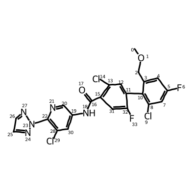 COCc1cc(F)cc(Cl)c1-c1cc(Cl)c(C(=O)Nc2cnc(-n3nccn3)c(Cl)c2)cc1F